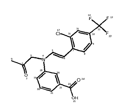 CC(=O)CN(C=Cc1ccc(C(F)(F)F)cc1Cl)c1cccc(C(=O)O)c1